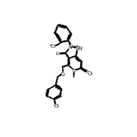 Cn1c(COCc2ccc(Cl)cc2)c2c(=O)n(-c3ccccc3Cl)[nH]c2cc1=O